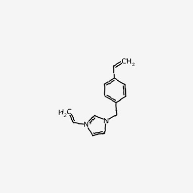 C=Cc1ccc(Cn2cc[n+](C=C)c2)cc1